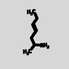 CCC=CCC(C)N